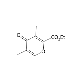 CCOC(=O)c1occ(C)c(=O)c1C